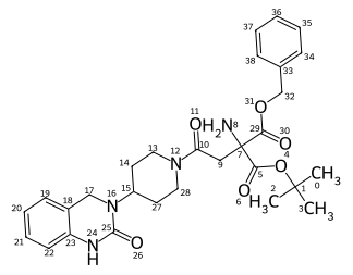 CC(C)(C)OC(=O)C(N)(CC(=O)N1CCC(N2Cc3ccccc3NC2=O)CC1)C(=O)OCc1ccccc1